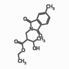 CCOC(=O)C(CN1C(=O)c2ccc(C)cc2C1=O)C(C)O